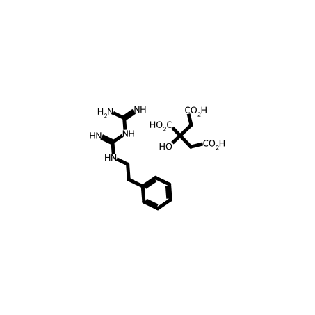 N=C(N)NC(=N)NCCc1ccccc1.O=C(O)CC(O)(CC(=O)O)C(=O)O